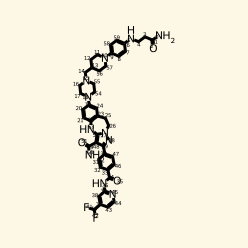 NC(=O)CCNc1ccc(N2CCC(CN3CCN(c4ccc5c(c4)CCn4nc(-c6ccc(C(=O)Nc7cc(C(F)F)ccn7)cc6)c(C(N)=O)c4N5)CC3)CC2)cc1